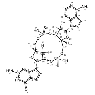 Nc1nc2c(ncn2[C@@H]2O[C@@H]3COP(O)(=S)O[C@@H]4[C@@H](COP(O)(=S)O[C@@H]2[C@@H]3F)O[C@@H](n2nnc3c(N)ncnc32)C4(F)F)c(=O)[nH]1